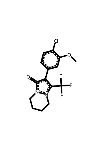 COc1cc(-c2c(C(F)(F)F)n3n(c2=O)CCCC3)ccc1Cl